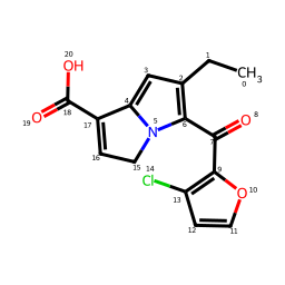 CCc1cc2n(c1C(=O)c1occc1Cl)CC=C2C(=O)O